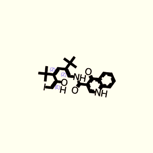 CC(C)(C)C(=C\NC(=O)c1c[nH]c2ccccc2c1=O)/C=C(\C(O)=C/I)C(C)(C)C